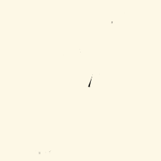 CCCCCOc1ccc([C@@H]2CC[C@@H](C)CC2=O)cc1